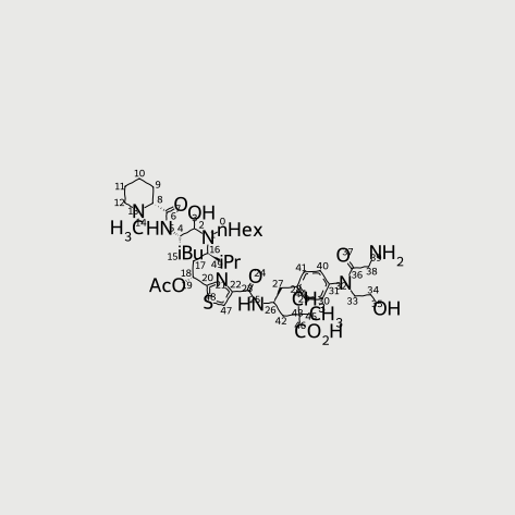 CCCCCCN(C(O)[C@@H](NC(=O)[C@H]1CCCCN1C)[C@@H](C)CC)[C@H](C[C@@H](OC(C)=O)c1nc(C(=O)N[C@@H](Cc2ccc(N(CCO)C(=O)CN)cc2)CC(C)(C)C(=O)O)cs1)C(C)C